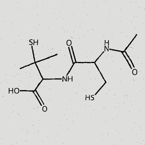 CC(=O)NC(CS)C(=O)NC(C(=O)O)C(C)(C)S